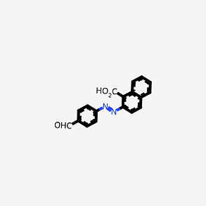 O=Cc1ccc(N=Nc2ccc3ccccc3c2C(=O)O)cc1